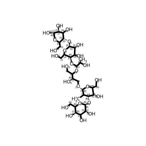 CC1[C@H](OC[C@@H](O)C(CO)O[C@H](O[C@H]2C(CO)O[C@@H](O[C@@H]3C(CO)O[C@@H](O)[C@@H](O)C3O)[C@@H](O)C2O)[C@H](C)O)OC(CO)[C@H](O)[C@@H]1O[C@@H]1OC(CO)[C@H](O)C(O)[C@@H]1O